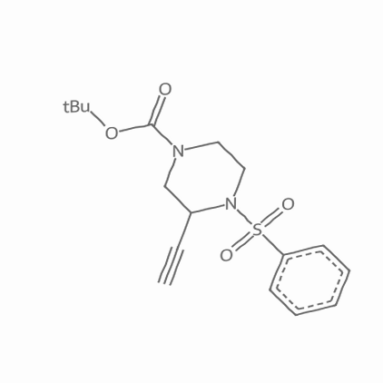 C#CC1CN(C(=O)OC(C)(C)C)CCN1S(=O)(=O)c1ccccc1